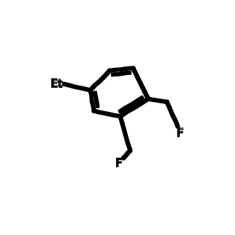 CCc1ccc(CF)c(CF)c1